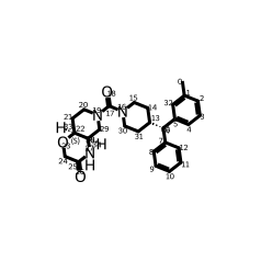 Cc1cccc([C@H](c2ccccc2)C2CCN(C(=O)N3CC[C@@H]4OCC(=O)N[C@@H]4C3)CC2)c1